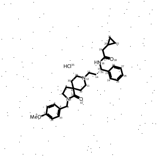 COc1ccc(CN2CCC3(CCN(CC[C@H](NC(=O)CC4CC4)c4ccccc4)CC3)C2=O)cc1.Cl